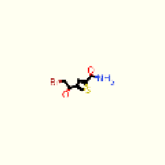 NC(=O)c1cc(C(=O)CBr)cs1